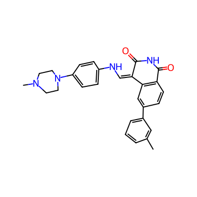 Cc1cccc(-c2ccc3c(c2)/C(=C/Nc2ccc(N4CCN(C)CC4)cc2)C(=O)NC3=O)c1